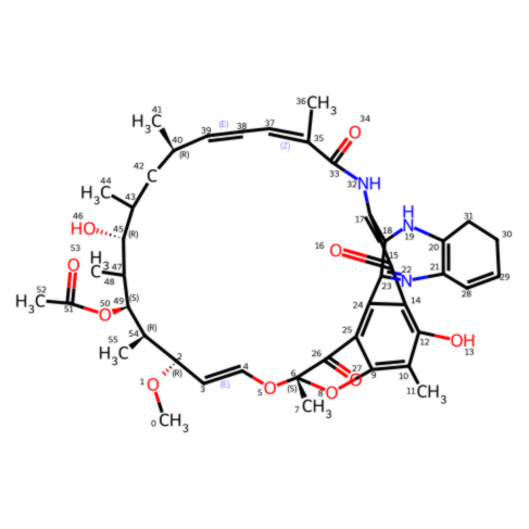 CO[C@H]1/C=C/O[C@@]2(C)Oc3c(C)c(O)c4c(=O)c(c5[nH]c6c(nc-5c4c3C2=O)C=CCC6)NC(=O)/C(C)=C\C=C\[C@H](C)CC(C)[C@@H](O)C(C)[C@H](OC(C)=O)[C@@H]1C